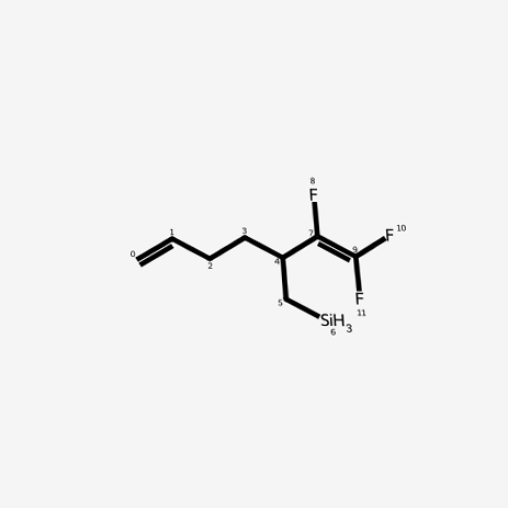 C=CCCC(C[SiH3])C(F)=C(F)F